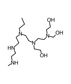 CCCN(CCNCCNC)CCN(CCO)CCN(CO)CCO